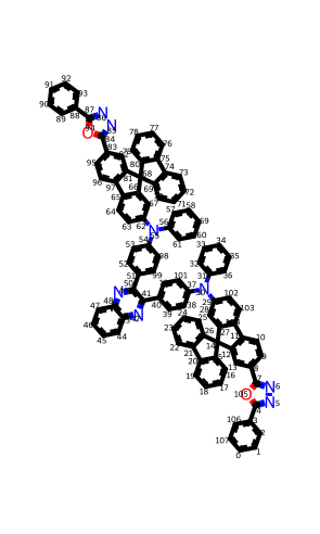 c1ccc(-c2nnc(-c3ccc4c(c3)C3(c5ccccc5-c5ccccc53)c3cc(N(c5ccccc5)c5ccc(-c6nc7ccccc7nc6-c6ccc(N(c7ccccc7)c7ccc8c(c7)C7(c9ccccc9-c9ccccc97)c7cc(-c9nnc(-c%10ccccc%10)o9)ccc7-8)cc6)cc5)ccc3-4)o2)cc1